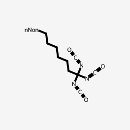 CCCCCCCCCCCCCCCC(N=C=O)(N=C=O)N=C=O